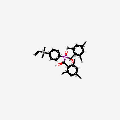 C=C[Si](C)(C)c1ccc(P(=O)(C(=O)c2c(C)cc(C)cc2C)C(=O)c2c(C)cc(C)cc2C)cc1